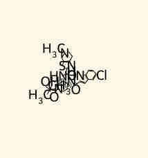 CN1CCc2nc(C(=O)N[C@@H]3CN(C(=O)C(C)(C)CO)CC[C@@H]3NC(=O)c3cc4cc(Cl)ccc4[nH]3)sc2C1